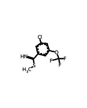 CSC(=N)c1cc(Cl)cc(OC(F)(F)F)c1